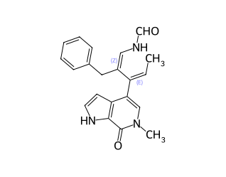 C/C=C(\C(=C/NC=O)Cc1ccccc1)c1cn(C)c(=O)c2[nH]ccc12